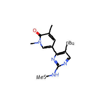 CCCCc1cnc(NSC)nc1-c1cc(C)c(=O)n(C)c1